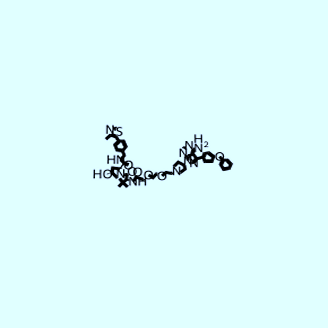 Cc1ncsc1-c1ccc(CNC(=O)[C@@H]2C[C@@H](O)CN2C(=O)[C@@H](NC(=O)COCCOCCN2CCC(n3nc(-c4ccc(Oc5ccccc5)cc4)c4c(N)ncnc43)CC2)C(C)(C)C)cc1